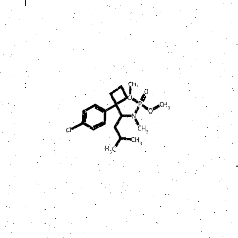 COP(=O)(OC)N(C)C(CC(C)C)C1(c2ccc(Cl)cc2)CCC1